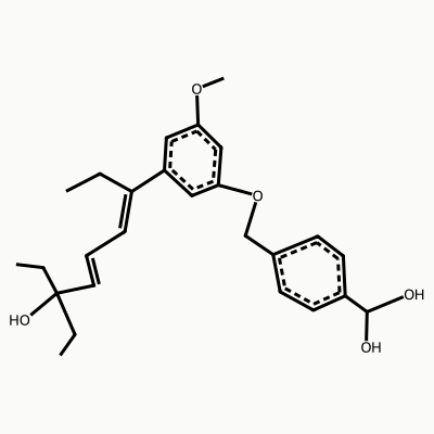 CCC(=CC=CC(O)(CC)CC)c1cc(OC)cc(OCc2ccc(C(O)O)cc2)c1